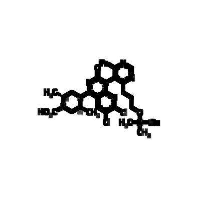 CC(C)c1ncnc(CCCO[Si](C)(C)C(C)(C)C)c1-n1c(=O)nc(N2C[C@@H](C)N(C(=O)O)C[C@@H]2C)c2cc(Cl)c(Cl)nc21